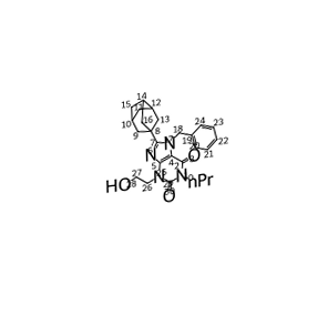 CCCn1c(=O)c2c(nc(C34CC5CC(C3)C(C5)C4)n2Cc2ccccc2)n(CCO)c1=O